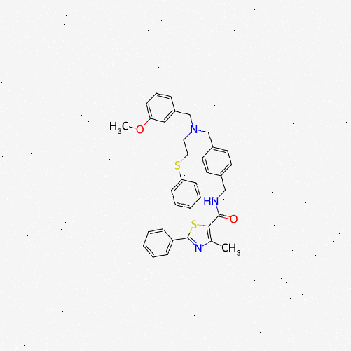 COc1cccc(CN(CCSc2ccccc2)Cc2ccc(CNC(=O)c3sc(-c4ccccc4)nc3C)cc2)c1